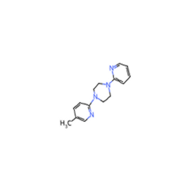 Cc1ccc(N2CCN(c3ccccn3)CC2)nc1